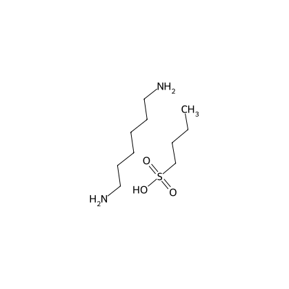 CCCCS(=O)(=O)O.NCCCCCCN